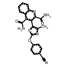 Cc1nc(Oc2ccc(C#N)cc2)sc1-c1c(C(N)=O)nc2ccccc2c1C(N)=O